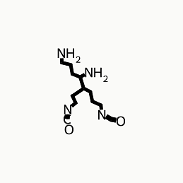 NCCCC(N)C(CCCN=C=O)CCN=C=O